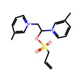 C=CCS(=O)(=O)OC(C[n+]1cccc(C)c1)[n+]1cccc(C)c1